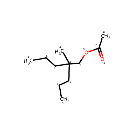 CCCC(C)(CCC)COC(C)=O